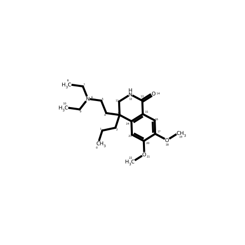 CCCC1(CCN(CC)CC)CNC(=O)c2cc(OC)c(OC)cc21